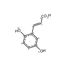 O=C(O)/C=C/c1cc(O)ccc1O